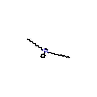 CCCCCCCCCCCCCN1C=CN(CCCCCCCCCCC)C1c1ccccc1